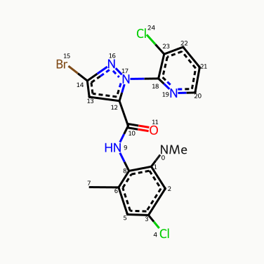 CNc1cc(Cl)cc(C)c1NC(=O)c1cc(Br)nn1-c1ncccc1Cl